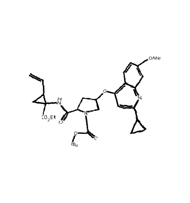 C=CC1CC1(NC(=O)C1CC(Oc2cc(C3CC3)nc3cc(OC)ccc23)CN1C(=O)OC(C)(C)C)C(=O)OCC